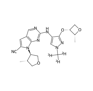 [2H]C([2H])([2H])n1cc(Nc2ncc3cc(C#N)n([C@H]4COC[C@@H]4C)c3n2)c(O[C@@H]2CO[C@@H]2C)n1